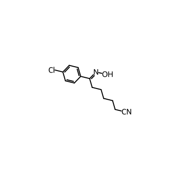 N#CCCCCCC(=NO)c1ccc(Cl)cc1